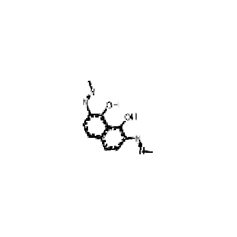 CN=Nc1ccc2ccc(N=NC)c(O)c2c1O